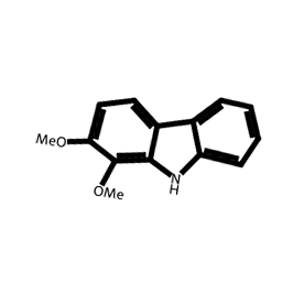 COc1ccc2c([nH]c3ccccc32)c1OC